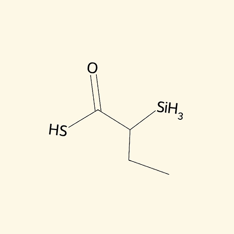 CCC([SiH3])C(=O)S